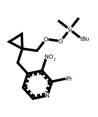 CC(C)c1nccc(CC2(COO[Si](C)(C)C(C)(C)C)CC2)c1[N+](=O)[O-]